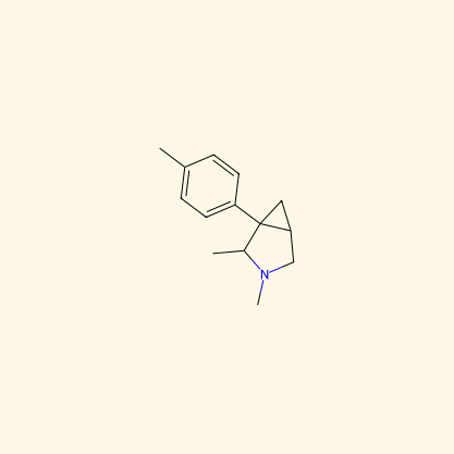 Cc1ccc(C23CC2CN(C)C3C)cc1